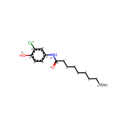 CCCCCCCCCCCCCCCCCC(=O)Nc1ccc(O)c(Cl)c1